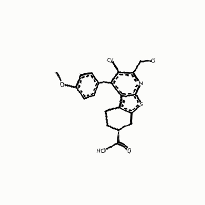 COc1ccc(-c2c(Cl)c(CCl)nc3sc4c(c23)CC[C@H](C(=O)O)C4)cc1